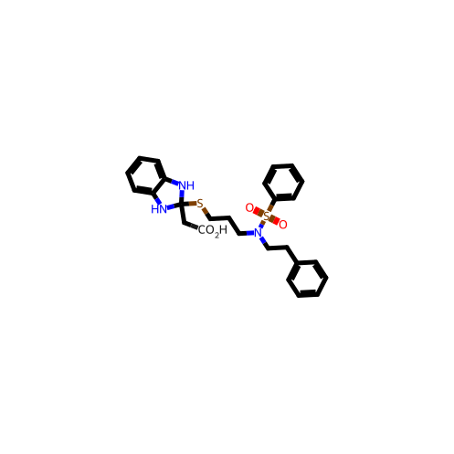 O=C(O)CC1(SCCCN(CCc2ccccc2)S(=O)(=O)c2ccccc2)Nc2ccccc2N1